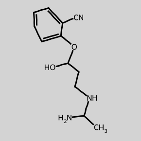 CC(N)NCCC(O)Oc1ccccc1C#N